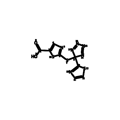 O=C(O)c1cnc(SC2(c3nccs3)N=NN=N2)s1